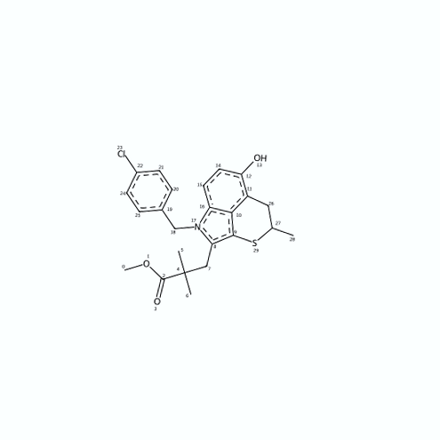 COC(=O)C(C)(C)Cc1c2c3c(c(O)ccc3n1Cc1ccc(Cl)cc1)CC(C)S2